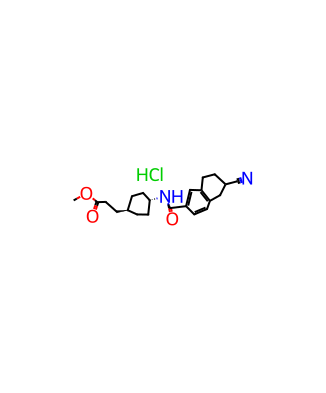 COC(=O)CC[C@H]1CC[C@H](NC(=O)c2ccc3c(c2)CCC(C#N)C3)CC1.Cl